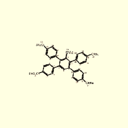 CCOC(=O)c1ccc(-c2[c]c(-c3ccc(OC)cc3)c(-c3ccc(OC)cc3)c(OC)c2-c2ccc(OC)cc2)cc1